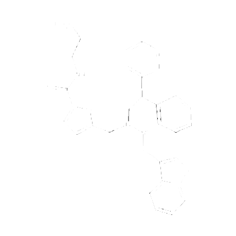 O=C(O)CCNC(=O)c1ccc(CN(CC(c2ccccc2)c2ccccc2)C(=O)Cc2csc3ccccc23)s1